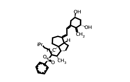 C=C1/C(=C\C=C2/CCC[C@]3(C)[C@@H]([C@H](C)C(CCC(C)C)S(=O)(=O)c4ccccc4)CC[C@@H]23)C[C@@H](O)C[C@@H]1O